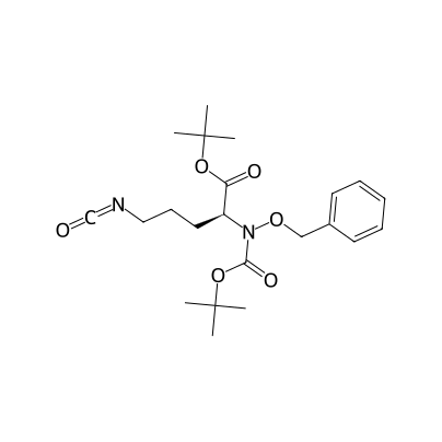 CC(C)(C)OC(=O)[C@H](CCCN=C=O)N(OCc1ccccc1)C(=O)OC(C)(C)C